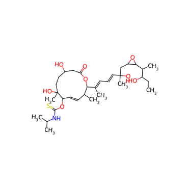 CCC(O)C(C)C1OC1CC(C)(O)/C=C/C=C(\C)C1OC(=O)CC(O)CCC(C)(O)C(OC(=S)NC(C)C)/C=C/C1C